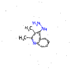 Cc1nc2ccccc2c(NN)c1C